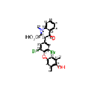 Cc1cc(Oc2c(Br)cc(CC(=O)c3ccccc3N(C)CC(=O)O)cc2Br)cc(C)c1O